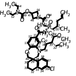 C=CC[C@H](C)C[S@](=O)(=NC(=O)c1ccc2c(c1)N(C[C@H](C)[C@@H](CC)[C@H](C)OC)C[C@@]1(CCCc3cc(Cl)ccc31)CO2)NC(=O)N1CC(OC(=O)N(CC)CC)C1